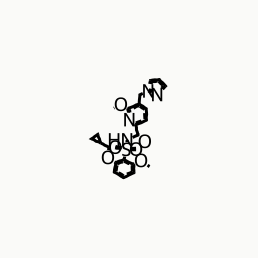 COc1cccc(OCC2CC2)c1S(=O)(=O)NC(=O)c1ccc(Cn2cccn2)c(OC)n1